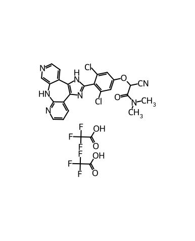 CN(C)C(=O)C(C#N)Oc1cc(Cl)c(-c2nc3c([nH]2)-c2ccncc2Nc2ncccc2-3)c(Cl)c1.O=C(O)C(F)(F)F.O=C(O)C(F)(F)F